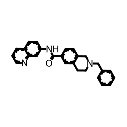 O=C(Nc1ccc2cccnc2c1)c1ccc2c(c1)CCN(Cc1ccccc1)C2